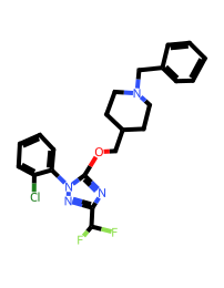 FC(F)c1nc(OCC2CCN(Cc3ccccc3)CC2)n(-c2ccccc2Cl)n1